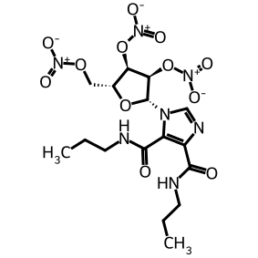 CCCNC(=O)c1ncn([C@@H]2O[C@H](CO[N+](=O)[O-])[C@@H](O[N+](=O)[O-])[C@H]2O[N+](=O)[O-])c1C(=O)NCCC